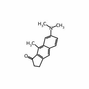 Cc1c2c(cc3ccc(N(C)C)cc13)CCC2=O